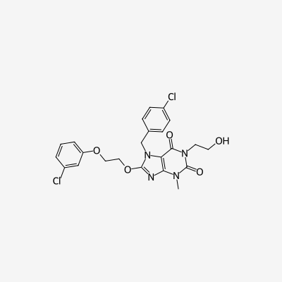 Cn1c(=O)n(CCO)c(=O)c2c1nc(OCCOc1cccc(Cl)c1)n2Cc1ccc(Cl)cc1